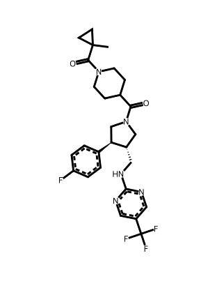 CC1(C(=O)N2CCC(C(=O)N3C[C@H](CNc4ncc(C(F)(F)F)cn4)[C@@H](c4ccc(F)cc4)C3)CC2)CC1